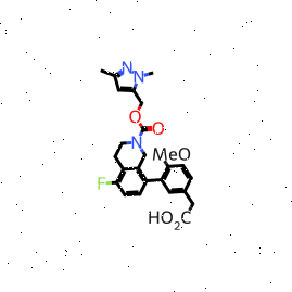 COc1ccc(CC(=O)O)cc1-c1ccc(F)c2c1CN(C(=O)OCc1cc(C)nn1C)CC2